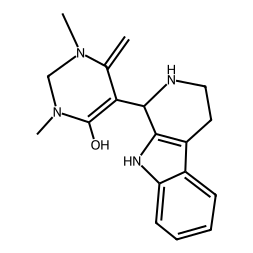 C=C1C(C2NCCc3c2[nH]c2ccccc32)=C(O)N(C)CN1C